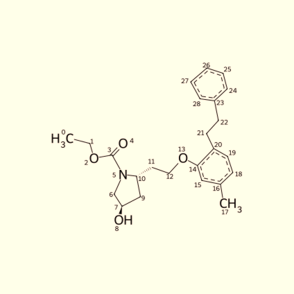 CCOC(=O)N1C[C@H](O)C[C@H]1CCOc1cc(C)ccc1CCc1ccccc1